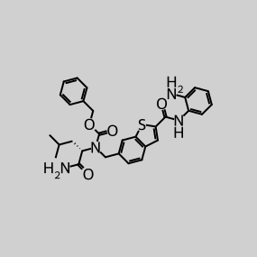 CC(C)C[C@@H](C(N)=O)N(Cc1ccc2cc(C(=O)Nc3ccccc3N)sc2c1)C(=O)OCc1ccccc1